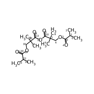 CC(C)C(=O)OCC(C)(C)C(=O)OC(=O)C(C)(C)COC(=O)C(C)C